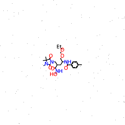 CCOCOCC(CC(CN1C(=O)N(C)C(C)(C)C1=O)C(=O)NO)NC(=O)c1ccc(C)cc1